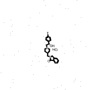 Cl.O=C1c2ccccc2CN1CC1CCN(C[C@H](O)c2ccc(F)cc2)CC1